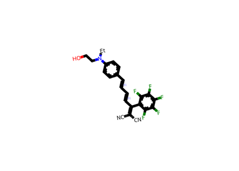 CCN(CCO)c1ccc(/C=C/C=C/C(=C(C#N)C#N)c2c(F)c(F)c(F)c(F)c2F)cc1